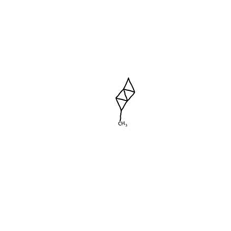 CC1C2C34CC3C124